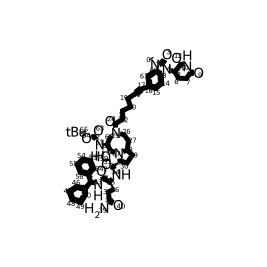 Cn1c(=O)n(C2CCC(=O)NC2=O)c2ccc(C#CCCCCC(=O)N3CCC4CC[C@@H](C(=O)N[C@@H](CCC(N)=O)C(=O)NC(c5ccccc5)c5ccccc5)N4C(O)[C@@H](NC(=O)OC(C)(C)C)C3)cc21